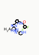 O=C(NCc1cccc(-c2cnc([AsH2])c(-c3nc([C@H]4CCCNC4)n[nH]3)n2)c1)c1cc(F)cc(F)c1